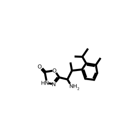 Cc1cccc(C(C)C(N)c2n[nH]c(=O)o2)c1C(C)C